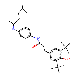 CC(C)CCC(C)Nc1ccc(NC(=O)CCc2cc(C(C)(C)C)c(O)c(C(C)(C)C)c2)cc1